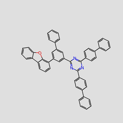 c1ccc(-c2ccc(-c3nc(-c4ccc(-c5ccccc5)cc4)nc(-c4cc(-c5ccccc5)cc(-c5cccc6c5oc5ccccc56)c4)n3)cc2)cc1